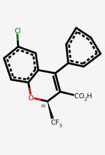 O=C(O)C1=C(c2ccccc2)c2cc(Cl)ccc2O[C@@H]1C(F)(F)F